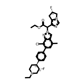 CCOC(=O)C(c1ncn2c1C[C@H](F)C2)n1cc2c(C)cc(-c3ccc([C@@H]4CCN(CC)C[C@H]4F)cc3)c(Cl)c2n1